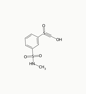 CNS(=O)(=O)c1cccc(S(=O)#CO)c1